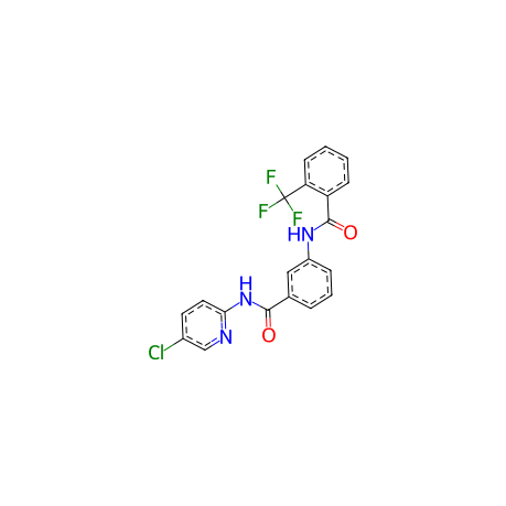 O=C(Nc1ccc(Cl)cn1)c1cccc(NC(=O)c2ccccc2C(F)(F)F)c1